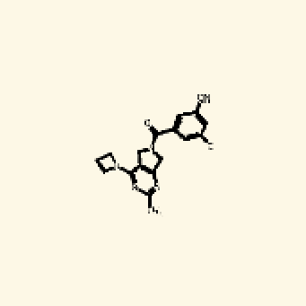 Cc1nc2c(c(N3CCC3)n1)CN(C(=O)c1cc(Cl)cc(C#N)c1)C2